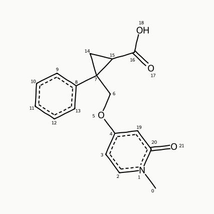 Cn1ccc(OCC2(c3ccccc3)CC2C(=O)O)cc1=O